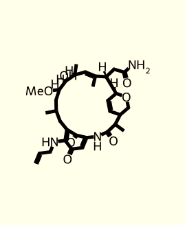 C=CCNC1=C2CC(C)C[C@H](OC)[C@H](O)[C@@H](C)/C=C(\C)[C@H](CC(N)=O)[C@@H]3C=CC(CO3)C(C)C(=O)NC(=CC1=O)C2=O